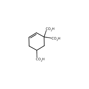 O=C(O)C1CC=CC(C(=O)O)(C(=O)O)C1